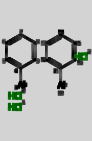 Cl.Cl.Cl.[Al][c]1ccccc1.[Al][c]1ccccc1